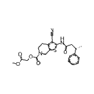 COC(=O)COC(=O)N1CCc2c(sc(NC(=O)C[C@H](C)c3ccccc3)c2C#N)C1